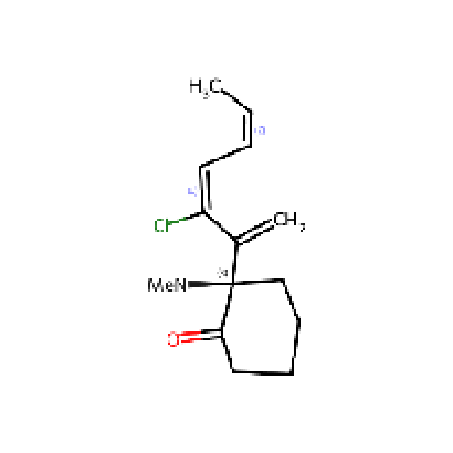 C=C(/C(Cl)=C\C=C/C)[C@]1(NC)CCCCC1=O